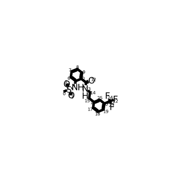 CS(=O)(=O)Nc1ccccc1C(=O)NCCc1cccc(C(F)(F)F)c1